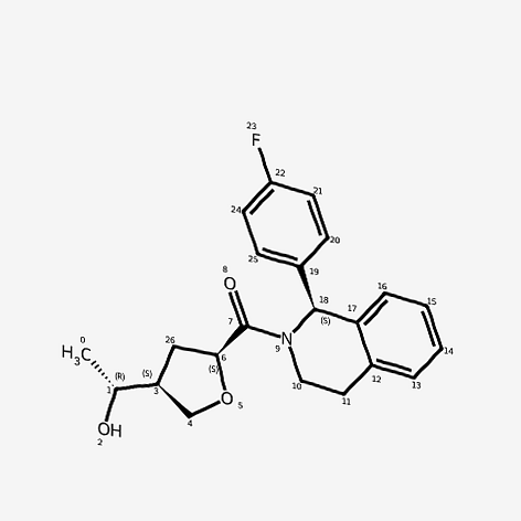 C[C@@H](O)[C@@H]1CO[C@H](C(=O)N2CCc3ccccc3[C@@H]2c2ccc(F)cc2)C1